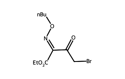 CCCCON=C(C(=O)CBr)C(=O)OCC